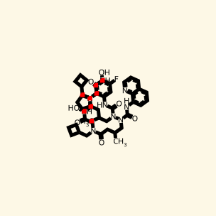 CC(CC(=O)N(CC(=O)NO)CC1CCC1)CN(C(=O)Nc1cc(F)ccc1N1CCCC1)N(CC(C)CC(=O)N(CC(=O)NO)CC1CCC1)C(=O)Nc1cccc2cccnc12